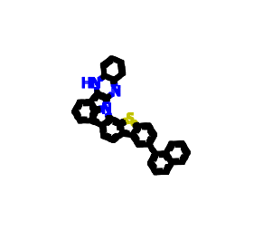 C1=CC2=Nc3c(c4cccc5c6ccc7c8cc(-c9cccc%10ccccc9%10)ccc8sc7c6n3c45)NC2C=C1